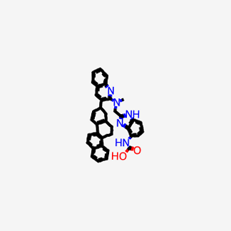 CN(Cc1nc2c(NC(=O)O)cccc2[nH]1)c1nc2ccccc2cc1C1C=CC2=C(CCc3c2ccc2ccccc32)C1